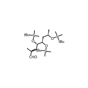 C/C(C=O)=C\[C@@H](O[Si](C)(C)C(C)(C)C)[C@@H](C[C@@H](C)O[Si](C)(C)C(C)(C)C)O[Si](C)(C)C(C)(C)C